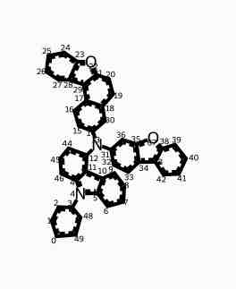 c1ccc(-n2c3ccccc3c3c(N(c4ccc5c(ccc6oc7ccccc7c65)c4)c4ccc5c(c4)oc4ccccc45)cccc32)cc1